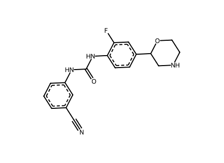 N#Cc1cccc(NC(=O)Nc2ccc(C3CNCCO3)cc2F)c1